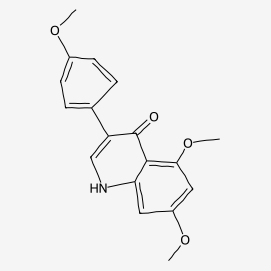 COc1ccc(-c2c[nH]c3cc(OC)cc(OC)c3c2=O)cc1